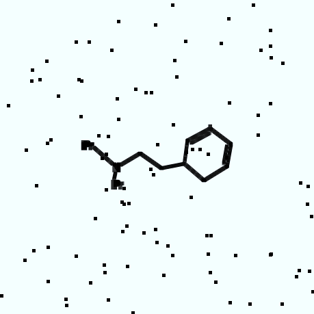 CC(C)N(CCC1C=[C]C=CC1)C(C)C